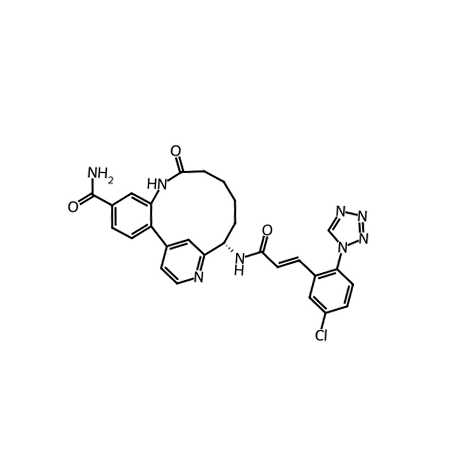 NC(=O)c1ccc2c(c1)NC(=O)CCCC[C@H](NC(=O)/C=C/c1cc(Cl)ccc1-n1cnnn1)c1cc-2ccn1